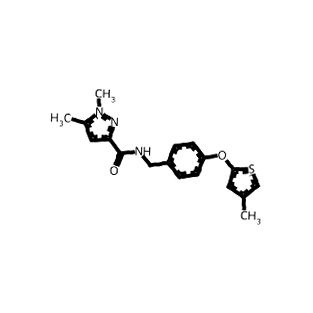 Cc1csc(Oc2ccc(CNC(=O)c3cc(C)n(C)n3)cc2)c1